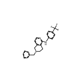 FC(F)(F)c1ccc(Nc2nccc3c2CCN(Cc2ccccc2)C3)cc1